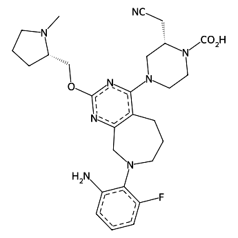 CN1CCC[C@H]1COc1nc2c(c(N3CCN(C(=O)O)[C@@H](CC#N)C3)n1)CCCN(c1c(N)cccc1F)C2